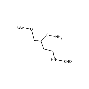 CC(C)(C)OCC(CCNC=O)ON